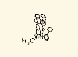 CCC1CC(COCc2c(-c3c(Cl)cccc3Cl)noc2C2CC2)C1C(=O)Nc1cccc(C2CCCCC2)c1